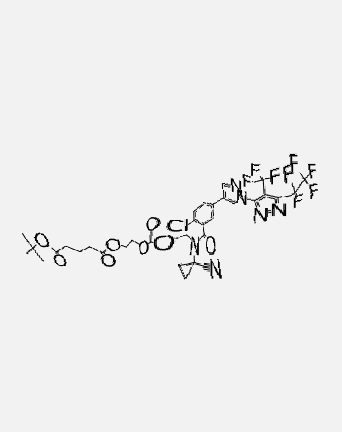 Cn1nc(C(F)(F)C(F)(F)F)c(C(F)(F)F)c1-n1cc(-c2ccc(Cl)c(C(=O)N(COC(=O)OCCOC(=O)CCCC(=O)OC(C)(C)C)C3(C#N)CC3)c2)cn1